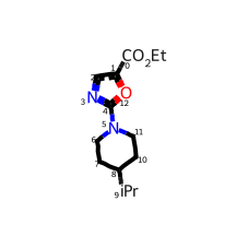 CCOC(=O)c1cnc(N2CCC(C(C)C)CC2)o1